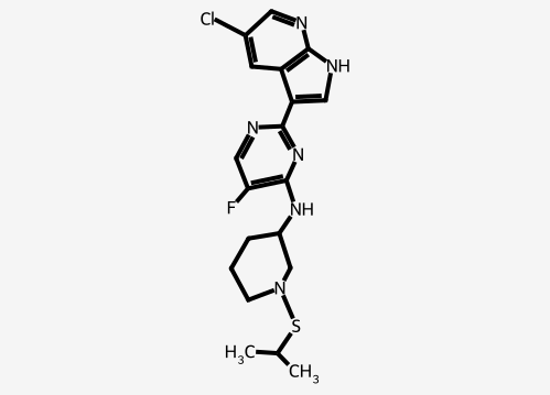 CC(C)SN1CCCC(Nc2nc(-c3c[nH]c4ncc(Cl)cc34)ncc2F)C1